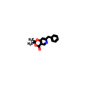 CC1(C)OC(=O)c2cnc(Cc3ccccc3)cc2O1